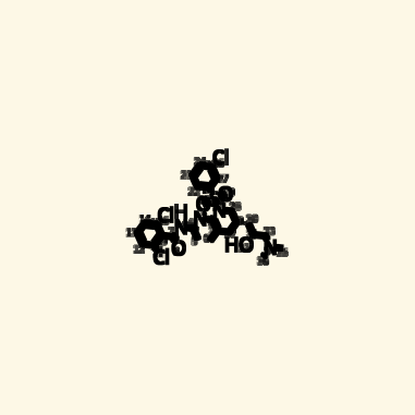 CC1=C(/N=C(\C)NC(=O)c2c(Cl)cccc2Cl)N(S(=O)(=O)c2cccc(Cl)c2)C[C@H](CC(O)CN(C)C)C1